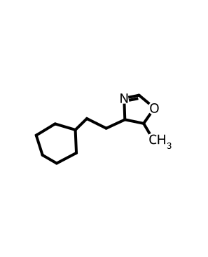 CC1OC=NC1CCC1CCCCC1